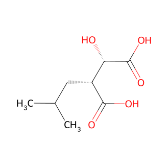 CC(C)C[C@@H](C(=O)O)[C@H](O)C(=O)O